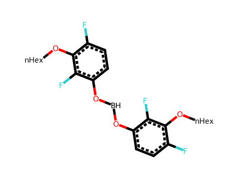 CCCCCCOc1c(F)ccc(OBOc2ccc(F)c(OCCCCCC)c2F)c1F